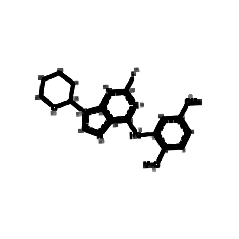 COc1ccc(OC)c(Nc2nc(F)nc3c2ncn3C2CCCCO2)c1